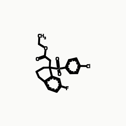 CCOC(=O)CC1(S(=O)(=O)c2ccc(Cl)cc2)CCCc2ccc(F)cc21